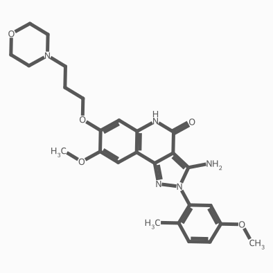 COc1ccc(C)c(-n2nc3c(c2N)c(=O)[nH]c2cc(OCCCN4CCOCC4)c(OC)cc23)c1